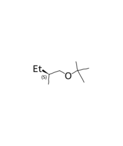 CC[C@H](C)COC(C)(C)C